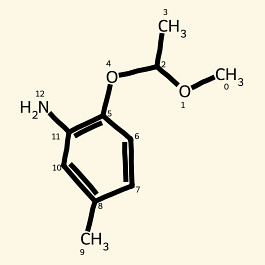 COC(C)Oc1ccc(C)cc1N